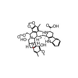 COc1c(C)cc2c(c1O)[C@@H]1[C@@H]3[C@H](SC[C@@]4(C)N[C@H](C(=O)O)Cc5c4[nH]c4ccccc54)c4c(C)c(C)c5c(c4[C@H](COC=O)N3[C@@H](O)[C@H](C2)N1C)OCO5